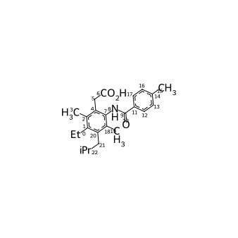 CCc1c(C)c(CC(=O)O)c(NC(=O)c2ccc(C)cc2)c(C)c1CC(C)C